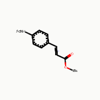 CC(=O)Nc1ccc(/C=C/C(=O)OC(C)(C)C)cc1